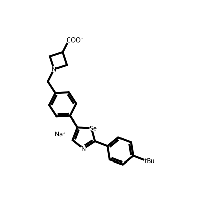 CC(C)(C)c1ccc(-c2ncc(-c3ccc(CN4CC(C(=O)[O-])C4)cc3)[se]2)cc1.[Na+]